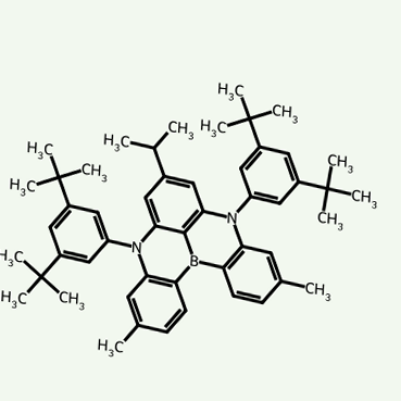 Cc1ccc2c(c1)N(c1cc(C(C)(C)C)cc(C(C)(C)C)c1)c1cc(C(C)C)cc3c1B2c1ccc(C)cc1N3c1cc(C(C)(C)C)cc(C(C)(C)C)c1